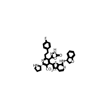 CCOC(=O)c1c([C@@H]2CCCN2)nc(CCc2ccc(F)cc2)c(-c2n[nH]c(=O)o2)c1-c1cc2ccnc(N[C@@H]3COc4ccccc43)c2s1